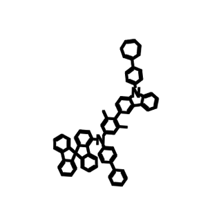 Cc1cc(N(c2ccc(-c3ccccc3)cc2)c2cccc3c2-c2ccccc2C32c3ccccc3-c3ccccc32)cc(C)c1-c1ccc2c(c1)c1ccccc1n2-c1ccc(C2=CCC=CC=C2)cc1